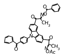 CC(=O)ON=C(C)C(=O)c1ccc2c(c1)c1cc(C(=O)/C(C)=N/OC(=O)c3ccccc3)ccc1n2-c1ccc(C(=O)c2ccccc2)cc1